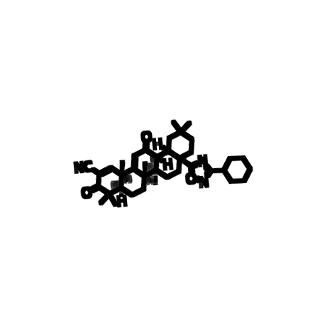 CC1(C)CC[C@]2(c3nc(C4CCCCC4)no3)CC[C@]3(C)[C@H](C(=O)C=C4[C@@]5(C)C=C(C#N)C(=O)C(C)(C)[C@@H]5CC[C@]43C)[C@@H]2C1